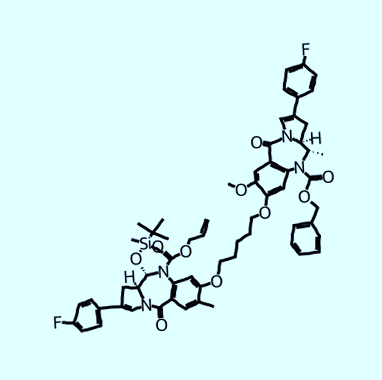 C=CCOC(=O)N1c2cc(OCCCCCOc3cc4c(cc3OC)C(=O)N3C=C(c5ccc(F)cc5)C[C@H]3[C@H](C)N4C(=O)OCc3ccccc3)c(C)cc2C(=O)N2C=C(c3ccc(F)cc3)C[C@H]2[C@@H]1O[Si](C)(C)C(C)(C)C